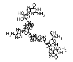 CCN(C)C(=O)C[C@@H]1[C@@H](COP(=O)(O)OP(=O)(O)OP(=O)(O)OC[C@H]2O[C@@H](n3cnc4c(N)ncnc43)[C@H](OC)[C@@H]2OP(=O)(O)OC[C@H]2O[C@@H](n3cnc4c(=O)[nH]c(N)nc43)[C@H](O)[C@@H]2O)OC(n2c[n+](C)c3c(=O)[nH]c(N)nc32)[C@@H]1O